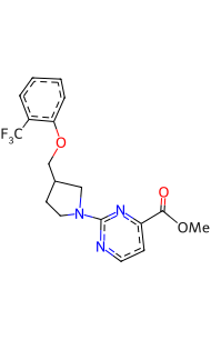 COC(=O)c1ccnc(N2CCC(COc3ccccc3C(F)(F)F)C2)n1